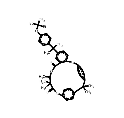 CCC(C)(CC)Oc1ccc(C(C)(C)c2ccc3c(c2)C(=O)OC(C)C(C)(C)C(=O)Oc2ccc(cc2)C(C)(C)c2ccc(cc2)O3)cc1